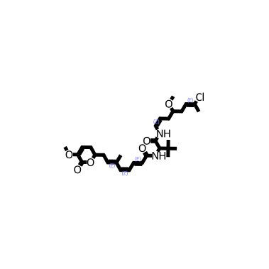 COC1=CCC(C/C=C(C)/C=C\C=C\C(=O)NC(C(=O)N/C=C\CC(C/C=C(\C)Cl)OC)C(C)(C)C)OC1=O